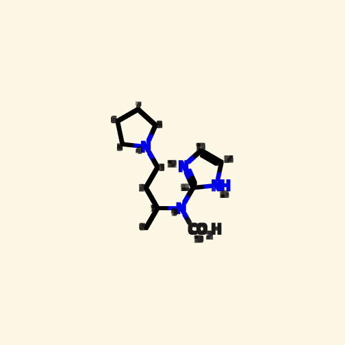 CC(CCN1CCCC1)N(C(=O)O)c1ncc[nH]1